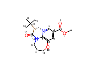 COC(=O)c1cnc2c(c1)OCCCN2C(=O)SC(C)(C)C